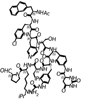 CC(=O)N[C@H](Cc1ccc2ccccc2c1)C(=O)N[C@H](Cc1ccc(Cl)cc1)C(=O)N[C@H](Cc1cccnc1)C(=O)N[C@@H](CO)C(=O)N[C@@H](Cc1ccc(NC(=O)[C@@H]2CC(=O)NC(=O)N2)cc1)C(=O)N[C@H](Cc1ccc(NC(N)=O)cc1)C(=O)N[C@@H](CC(C)C)C(=O)N[C@@H](CCCCNC(C)C)C(=O)N1CCC[C@H]1[C]=O